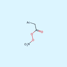 CC(=O)CC(=O)OO[N+](=O)[O-]